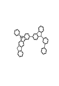 c1ccc(-c2cccc(C3c4ccccc4-c4cc(-c5ccc6c(c5)c5cc7c(cc5n6-c5ccccc5)Cc5ccccc5-7)ccc43)c2)cc1